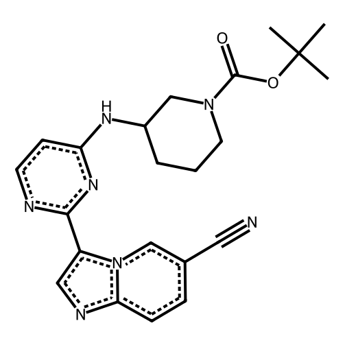 CC(C)(C)OC(=O)N1CCCC(Nc2ccnc(-c3cnc4ccc(C#N)cn34)n2)C1